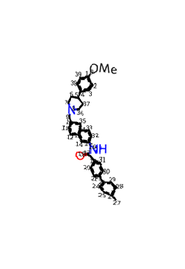 COc1ccc(C2CCN(Cc3ccc4cc(NC(=O)c5ccc(-c6ccc(C)cc6)cc5)ccc4c3)CC2)cc1